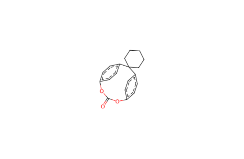 O=C1Oc2ccc(cc2)C2(CCCCC2)c2ccc(cc2)O1